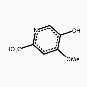 COc1cc(C(=O)O)ncc1O